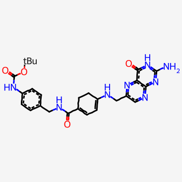 CC(C)(C)OC(=O)Nc1ccc(CNC(=O)C2=CC=C(NCc3cnc4nc(N)[nH]c(=O)c4n3)CC2)cc1